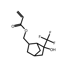 C=CC(=O)OCC1CC2CC1C(O)(C(F)(F)F)C2